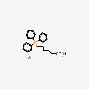 Br.O=C(O)CCCCC[P](c1ccccc1)(c1ccccc1)c1ccccc1